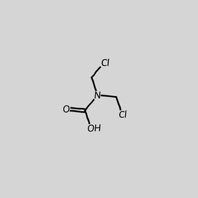 O=C(O)N(CCl)CCl